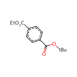 CCOC(=O)c1ccc(C(=O)OC(C)(C)C)cc1